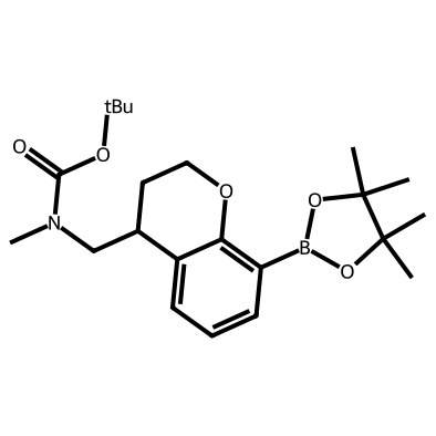 CN(CC1CCOc2c(B3OC(C)(C)C(C)(C)O3)cccc21)C(=O)OC(C)(C)C